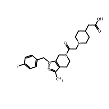 Cc1nn(Cc2ccc(F)cc2)c2c1CCN(C(=O)CN1CCC(CC(=O)O)CC1)C2